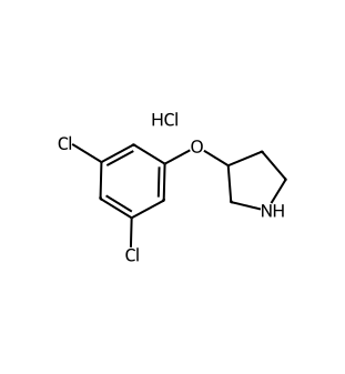 Cl.Clc1cc(Cl)cc(OC2CCNC2)c1